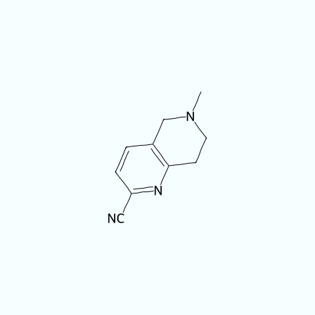 CN1CCc2nc(C#N)ccc2C1